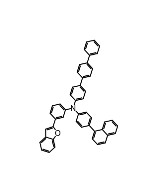 c1ccc(-c2ccc(-c3ccc(N(c4ccc(-c5cccc6ccccc56)cc4)c4cccc(-c5cc6ccccc6o5)c4)cc3)cc2)cc1